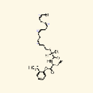 CC/C=C\C/C=C\C/C=C\C/C=C\CCSC(CC)(CC)C(=O)NC(CC(C)C)C(=O)Oc1ccccc1C(=O)O